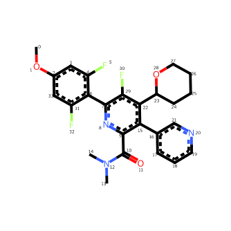 COc1cc(F)c(-c2nc(C(=O)N(C)C)c(-c3cccnc3)c(C3CCCCO3)c2F)c(F)c1